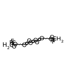 C=C(C(=O)OCCCCCCOc1ccc(C(=O)Oc2ccc(OC(=O)c3ccc(OCCCCCCOC(=O)C(=C)C(F)(F)F)cc3)cc2)cc1)C(F)(F)F